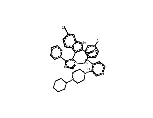 C[C@@H](c1ccc(Cl)cc1)n1cnc(-c2ccccc2)c1-c1c(C(=O)Nc2ccncc2N2CCN(C3CCCCC3)CC2)[nH]c2cc(Cl)ccc12